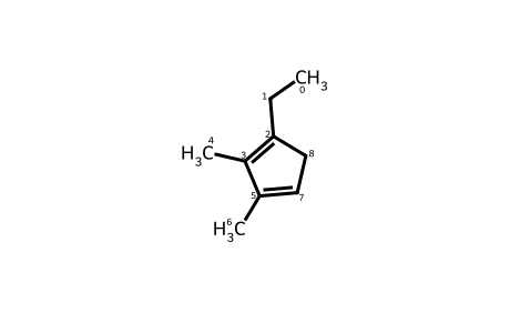 CCC1=C(C)C(C)=CC1